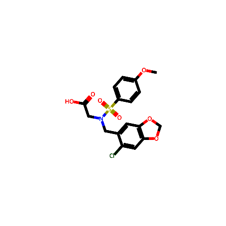 COc1ccc(S(=O)(=O)N(CC(=O)O)Cc2cc3c(cc2Cl)OCO3)cc1